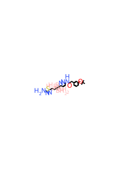 BC(B)(CCc1nnc(N)s1)C(B)(B)c1ccc(NC(=O)Cc2cccc(OC(C)(C)C)c2)nn1